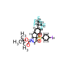 CC(C)(C)OC(=O)N1CCC2(S(=O)(=O)c3ccc(I)cc3)c3ccc(C(F)(C(F)(F)F)C(F)(F)F)cc3CC12